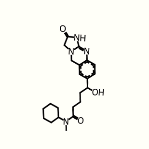 CN(C(=O)CCCC(O)c1ccc2c(c1)CN1CC(=O)NC1=N2)C1CCCCC1